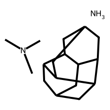 C1C2CC3C4CC5CC(C14)C(C2)C3C5.CN(C)C.N